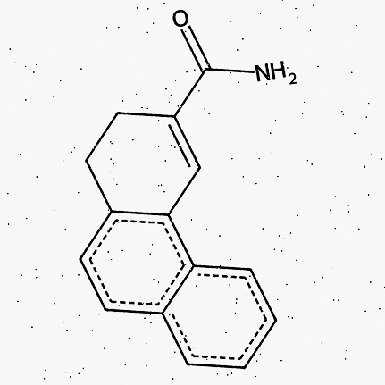 NC(=O)C1=Cc2c(ccc3ccccc23)CC1